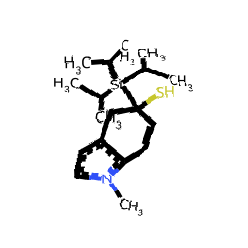 CC(C)[Si](C(C)C)(C(C)C)C1(S)C=Cc2c(ccn2C)C1